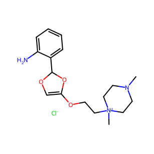 CN1CC[N+](C)(CCOC2=COC(c3ccccc3N)O2)CC1.[Cl-]